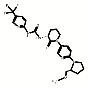 COC[C@@H]1CCCN1c1ccc(N2CCC[C@@H](NC(=O)Nc3ccc(C(F)(F)F)cn3)C2=O)cn1